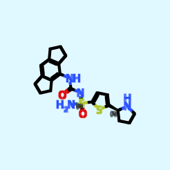 N[S@@](=O)(=NC(=O)Nc1c2c(cc3c1CCC3)CCC2)c1ccc([C@@H]2CCCN2)s1